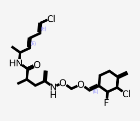 C=C(CC(C)C(=O)NC(C)/C=C/C=C/Cl)NOCO/C=C1\CCC(=C)C(Cl)C1F